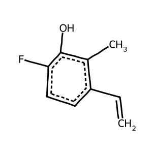 C=Cc1ccc(F)c(O)c1C